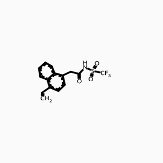 C=Cc1ccc(CC(=O)NS(=O)(=O)C(F)(F)F)c2ccccc12